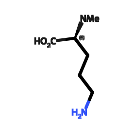 CN[C@@H](CCCN)C(=O)O